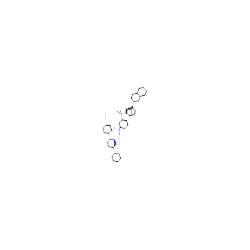 CC1(C)c2cc(Nc3ccccc3-c3ccc(-c4ccccc4)cc3)ccc2-c2ccc(-c3ccc4ccccc4c3)cc21